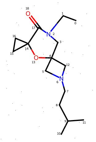 CCN1CC2(CN(CCC(C)C)C2)OC2(CC2)C1=O